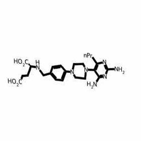 CCCc1nc(N)nc(N)c1N1CCN(c2ccc(CN[C@@H](CCC(=O)O)C(=O)O)cc2)CC1